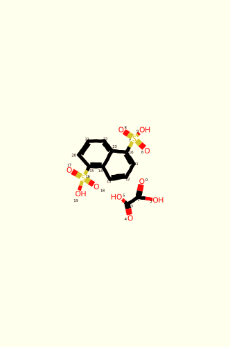 O=C(O)C(=O)O.O=S(=O)(O)c1cccc2c(S(=O)(=O)O)cccc12